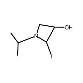 CC(C)N1CC(O)C1I